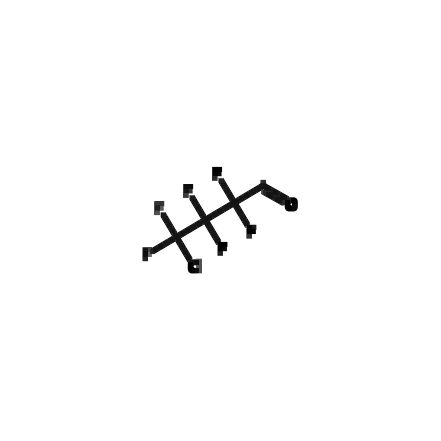 O=[C]C(F)(F)C(F)(F)C(F)(F)Cl